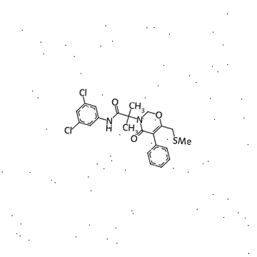 CSCC1=C(c2ccccc2)C(=O)N(C(C)(C)C(=O)Nc2cc(Cl)cc(Cl)c2)CO1